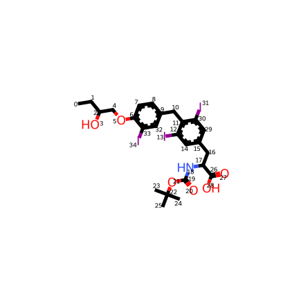 CCC(O)COc1ccc(Cc2c(I)cc(CC(NC(=O)OC(C)(C)C)C(=O)O)cc2I)cc1I